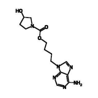 Nc1ncnc2c1ncn2CCCCOC(=O)N1CCC(O)C1